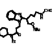 CCCCOCC(CCCNC=O)c1nc2ccccc2n1CCC(=O)N(CC)C1CCCCC1